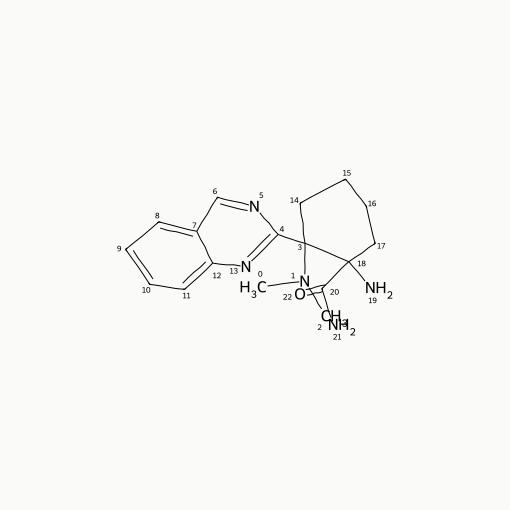 CN(C)C1(c2ncc3ccccc3n2)CCCCC1(N)C(N)=O